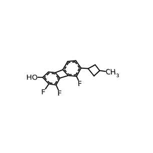 CC1CC(c2ccc3c(c2F)-c2c-3cc(O)c(F)c2F)C1